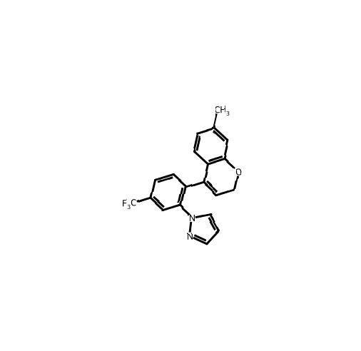 Cc1ccc2c(c1)OCC=C2c1ccc(C(F)(F)F)cc1-n1cccn1